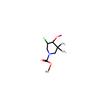 CC(C)(C)OC(=O)N1CC(F)C(OI)C(C)(C)C1